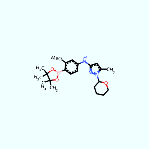 COc1cc(Nc2cc(C)n(C3CCCCO3)n2)ccc1B1OC(C)(C)C(C)(C)O1